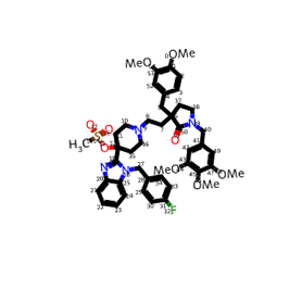 COc1ccc(CC2(CCN3CCC(OS(C)(=O)=O)(c4nc5ccccc5n4Cc4ccc(F)cc4)CC3)CCN(Cc3cc(OC)c(OC)c(OC)c3)C2=O)cc1OC